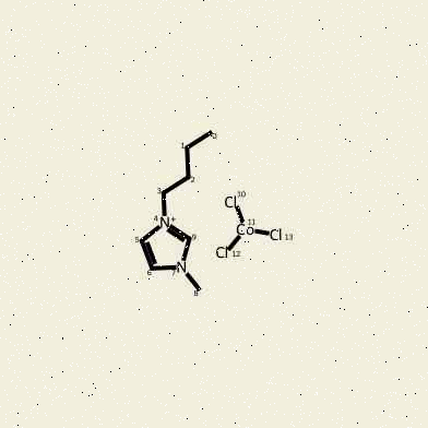 CCCC[n+]1ccn(C)c1.[Cl][Co]([Cl])[Cl]